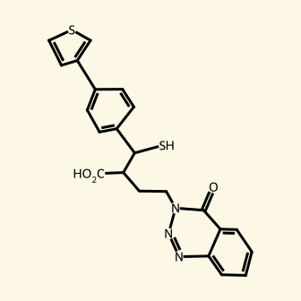 O=C(O)C(CCn1nnc2ccccc2c1=O)C(S)c1ccc(-c2ccsc2)cc1